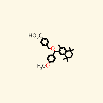 Cc1cc2c(cc1C(OCc1ccc(C(=O)O)cc1)c1ccc(OC(F)(F)F)cc1)C(C)(C)CCC2(C)C